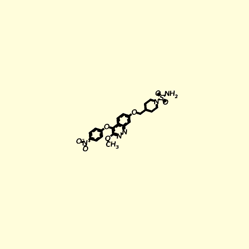 COc1nnc2cc(OCC3CCN(S(N)(=O)=O)CC3)ccc2c1Oc1ccc([N+](=O)[O-])cc1